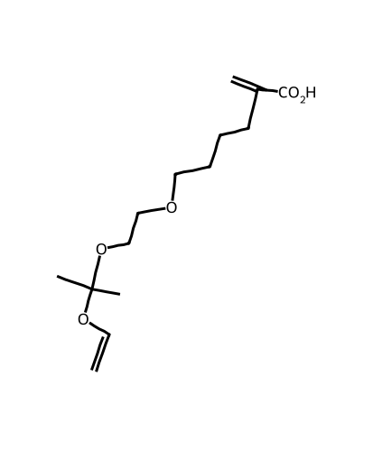 C=COC(C)(C)OCCOCCCCC(=C)C(=O)O